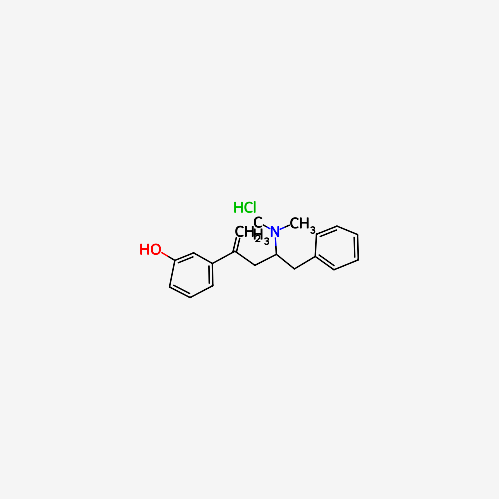 C=C(CC(Cc1ccccc1)N(C)C)c1cccc(O)c1.Cl